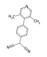 Cc1cncc(C)c1-c1ccc(C(C#N)C#N)cc1